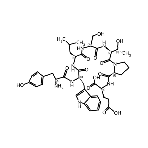 CC(C)C[C@H](NC(=O)[C@H](Cc1c[nH]c2ccccc12)NC(=O)[C@@H](N)Cc1ccc(O)cc1)C(=O)N[C@@H](CO)C(=O)N[C@H](C(=O)N1CCC[C@H]1C(=O)N[C@@H](CCC(=O)O)C(=O)O)[C@@H](C)O